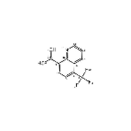 OB(O)c1ccc(C(F)(F)F)c2cccnc12